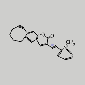 C[n+]1ccccc1/C=C/c1cc2cc3c(cc2oc1=O)C#CCCCC3